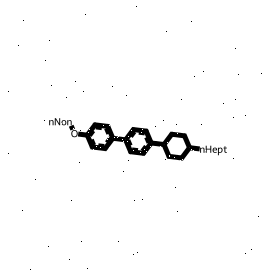 CCCCCCCCCOc1ccc(-c2ccc(C3CCC(CCCCCCC)CC3)cc2)cc1